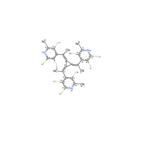 N#CC(=C1C(=C(C#N)c2c(F)c(F)nc(C#N)c2F)C1=C(C#N)c1c(F)c(F)nc(C#N)c1F)c1c(F)c(F)nc(C#N)c1F